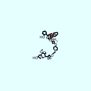 COC(=O)[C@@H]1C[C@@H](O)CN1C[C@@H](c1cc(OCCN2CCC(O[C@H]3C[C@H](Oc4cc(N5C6CCC5CN(c5cc(-c7ccccc7O)nnc5N)C6)ccn4)C3)CC2)no1)C(C)C